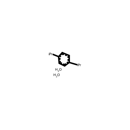 CC(C)c1ccc(C(C)C)cc1.O.O